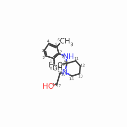 Cc1cccc(C)c1NC1(C)CCCCN1CCO